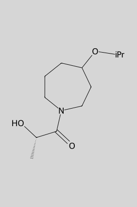 CC(C)OC1CCCN(C(=O)[C@H](C)O)CC1